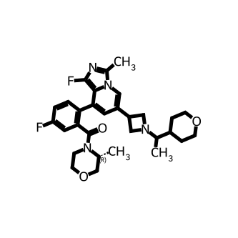 Cc1nc(F)c2c(-c3ccc(F)cc3C(=O)N3CCOC[C@H]3C)cc(C3CN(C(C)C4CCOCC4)C3)cn12